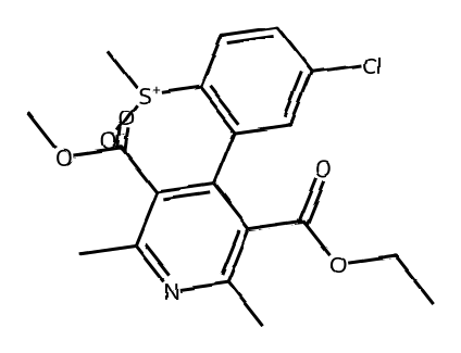 CCOC(=O)c1c(C)nc(C)c(C(=O)OC)c1-c1cc(Cl)ccc1[S+](C)[O-]